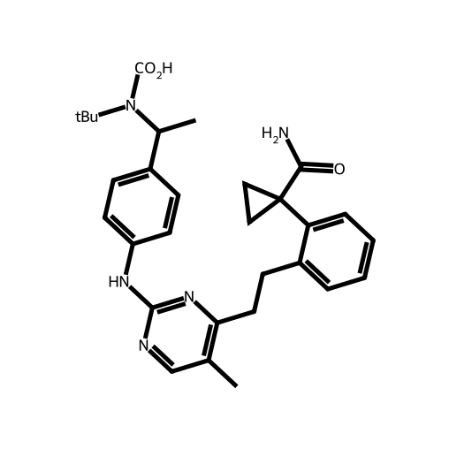 Cc1cnc(Nc2ccc(C(C)N(C(=O)O)C(C)(C)C)cc2)nc1CCc1ccccc1C1(C(N)=O)CC1